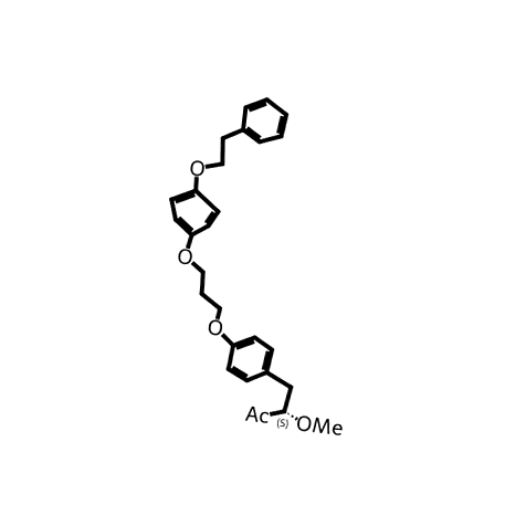 CO[C@@H](Cc1ccc(OCCCOc2ccc(OCCc3ccccc3)cc2)cc1)C(C)=O